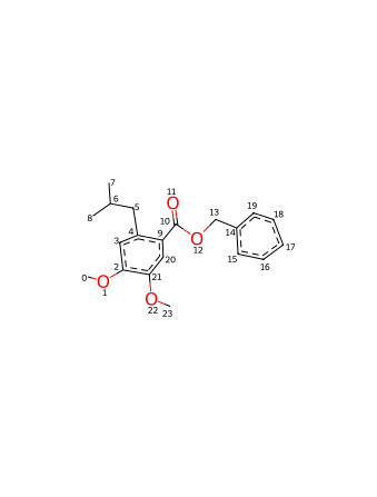 COc1cc(CC(C)C)c(C(=O)OCc2ccccc2)cc1OC